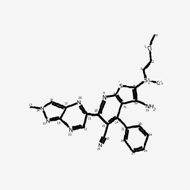 COCC[S@@+]([O-])c1sc2nc(-c3cnc4nn(C)cc4n3)c(C#N)c(-c3ccccc3)c2c1N